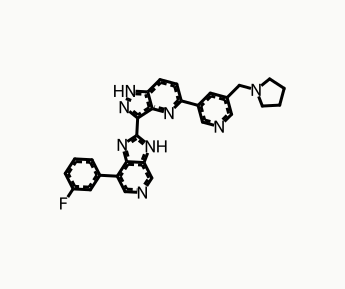 Fc1cccc(-c2cncc3[nH]c(-c4n[nH]c5ccc(-c6cncc(CN7CCCC7)c6)nc45)nc23)c1